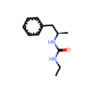 CCNC(=O)N[C@H](C)Cc1ccccc1